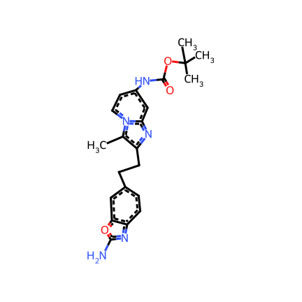 Cc1c(CCc2ccc3nc(N)oc3c2)nc2cc(NC(=O)OC(C)(C)C)ccn12